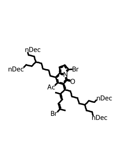 CCCCCCCCCCCCC(CCCCCCCCCCCC)CCCCC(/C(C)=C/C=C(\C)Br)=c1/c(C(C)=O)c(CCCCC(CCCCCCCCCCCC)CCCCCCCCCCCC)c2ccc(Br)n2c1=O